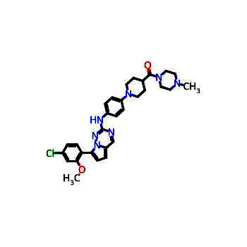 COc1cc(Cl)ccc1-c1ccc2cnc(Nc3ccc(N4CCC(C(=O)N5CCN(C)CC5)CC4)cc3)nn12